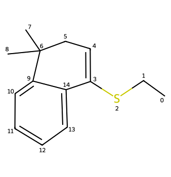 CCSC1=CCC(C)(C)c2ccccc21